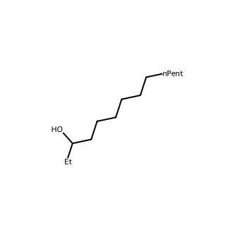 [CH2]CC(O)CCCCCCCCCCC